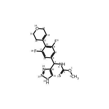 COC(=S)NC(c1cc(F)c(C2=CCOCC2)c(F)c1)c1c[nH]nn1